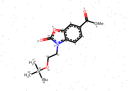 COC(=O)c1ccc2c(c1)oc(=O)n2CCO[Si](C)(C)C(C)(C)C